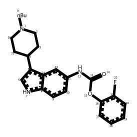 CCCCN1CCC(c2c[nH]c3ccc(NC(=O)Oc4ccccc4F)cc23)CC1